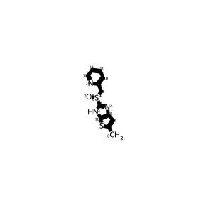 Cc1cc2nc([S+]([O-])Cc3ccccn3)[nH]c2s1